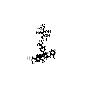 Cc1ccccc1CC(CNC(=O)c1nc(Cl)c(N)nc1N)CN(C)C1CCN(C(=O)CCNC[C@H](O)[C@@H](O)[C@H](O)[C@H](O)CO)CC1